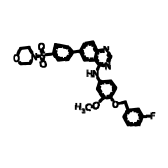 COc1cc(Nc2ncnc3ccc(-c4ccc(S(=O)(=O)N5CCOCC5)cc4)cc23)ccc1OCc1cccc(F)c1